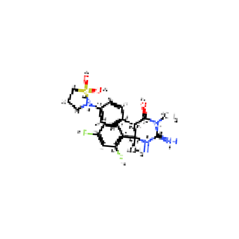 CN1C(=N)N[C@](C)(c2ccc(F)cc2F)[C@@H](c2ccc(N3CCCS3(=O)=O)cc2)C1=O